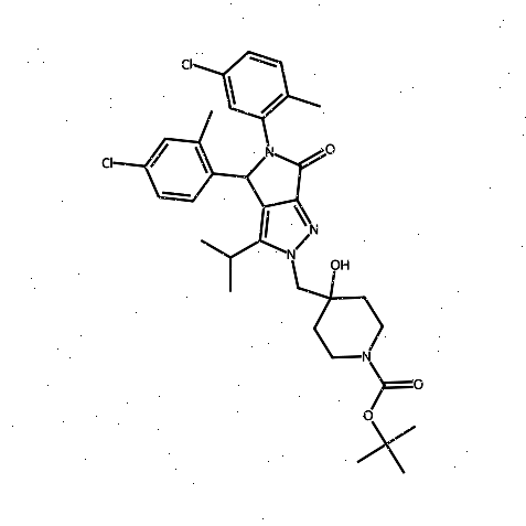 Cc1cc(Cl)ccc1C1c2c(nn(CC3(O)CCN(C(=O)OC(C)(C)C)CC3)c2C(C)C)C(=O)N1c1cc(Cl)ccc1C